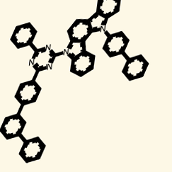 c1ccc(-c2ccc(-n3c4ccccc4c4ccc5c(c6ccccc6n5-c5nc(-c6ccccc6)nc(-c6ccc(-c7cccc(-c8ccccc8)c7)cc6)n5)c43)cc2)cc1